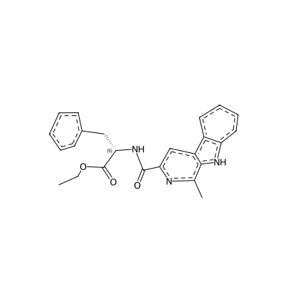 CCOC(=O)[C@H](Cc1ccccc1)NC(=O)c1cc2c([nH]c3ccccc32)c(C)n1